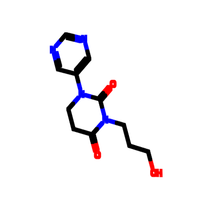 O=C1CCN(c2cncnc2)C(=O)N1CCCO